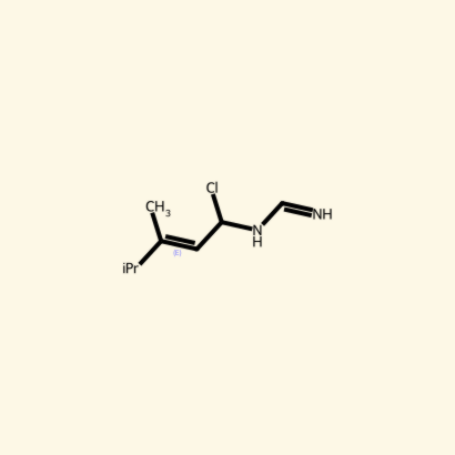 C/C(=C\C(Cl)NC=N)C(C)C